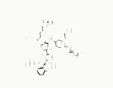 C#CC[C@@H]1C[C@@H](Oc2cc(O[C@@H](C)[C@@H](C)C[C@@H](F)CNC)nc(-c3noc(C(C)(C)c4c(P)cccc4Cl)n3)n2)CCN1C(=O)OC(C)(C)C